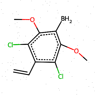 Bc1c(OC)c(Cl)c(C=C)c(Cl)c1OC